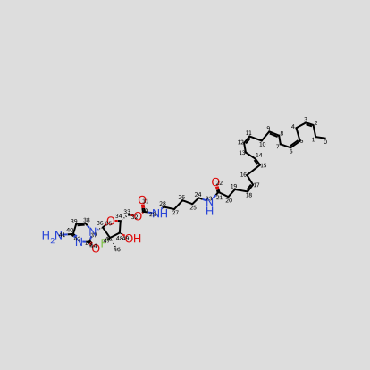 CC/C=C\C/C=C\C/C=C\C/C=C\C/C=C\C/C=C\CCC(=O)NCCCCCNC(=O)OC[C@H]1O[C@@H](n2ccc(N)nc2=O)[C@](C)(F)[C@@H]1O